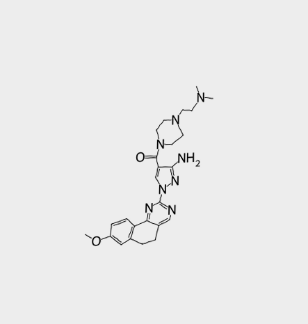 COc1ccc2c(c1)CCc1cnc(-n3cc(C(=O)N4CCN(CCN(C)C)CC4)c(N)n3)nc1-2